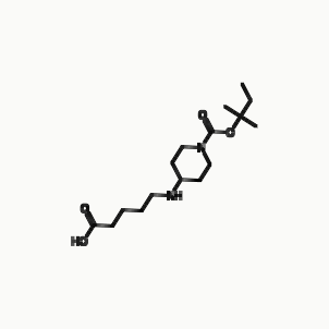 CCC(C)(C)OC(=O)N1CCC(NCCCCC(=O)O)CC1